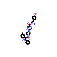 COc1ccc(CCNC(=O)c2cnc(N3CCN(C(=O)c4c(-c5ccccc5)n(C)c5ccc(C)cc45)CC3)cn2)cc1